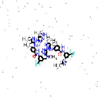 CNc1cc(-n2nc(C)cc2Nc2cc(C(=O)Nc3cc(CN(C)c4cc(-n5nc(C)cc5Nc5cc(C(=O)Nc6cc(-n7cnc(C)c7)cc(C(F)(F)F)c6)ccc5C)ncn4)cc(C(F)(F)F)c3)ccc2C)ncn1